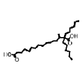 CCCCCCC(CCCCCC)(C(=O)O)C(C)CCCCCCCCCCCCC(=O)O